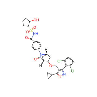 O=C(NS(=O)(=O)[C@@H]1CCC[C@H]1O)c1ccc(N2C(=O)[C@@H]3C[C@H]2C[C@H]3OCc2c(-c3c(Cl)cccc3Cl)noc2C2CC2)cc1